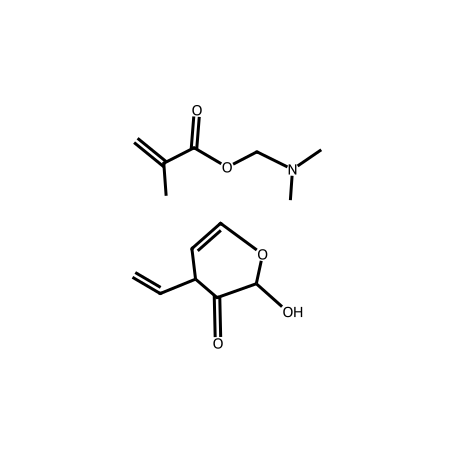 C=C(C)C(=O)OCN(C)C.C=CC1C=COC(O)C1=O